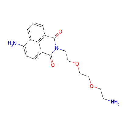 NCCOCCOCCN1C(=O)c2cccc3c(N)ccc(c23)C1=O